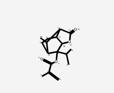 C=C(C)C(=O)OC1(C(C)C)C2CCC3C(C(=O)OC31)C2C